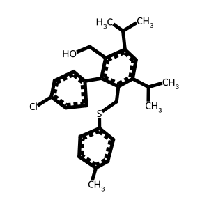 Cc1ccc(SCc2c(C(C)C)cc(C(C)C)c(CO)c2-c2ccc(Cl)cc2)cc1